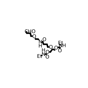 CCNC(=O)OCC(COC(=O)NCC)OCCCC(=O)NCCOCCCC=O